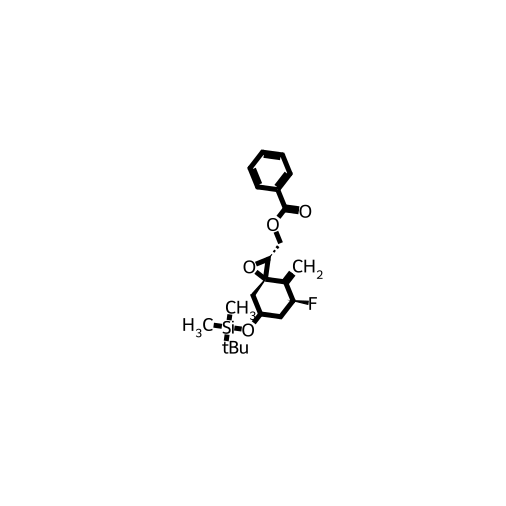 C=C1[C@@H](F)CC(O[Si](C)(C)C(C)(C)C)C[C@]12O[C@@H]2COC(=O)c1ccccc1